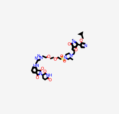 CC1CN(S(=O)(=O)CCOCCOCCn2cc(CNc3cccc4c3C(=O)N(C3CCC(=O)NC3=O)C4=O)nn2)CCN1Cc1cc2c(=O)n(C)cc(-c3ccncc3OCC3CC3)c2o1